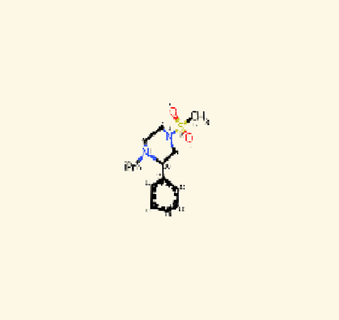 CC(C)N1CCN(S(C)(=O)=O)C[C@H]1c1ccccc1